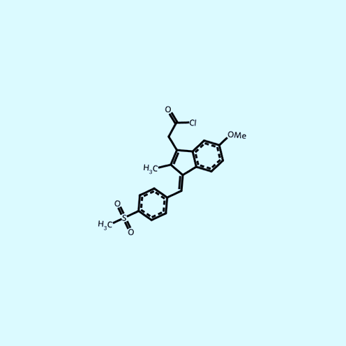 COc1ccc2c(c1)C(CC(=O)Cl)=C(C)/C2=C\c1ccc(S(C)(=O)=O)cc1